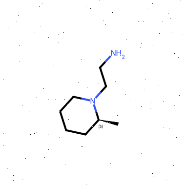 C[C@H]1CCCCN1CCN